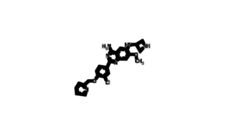 COc1cc2nc(-c3ccc(OCc4ccccn4)c(Cl)c3)nc(N)c2cc1NC1CNC1